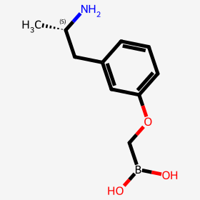 C[C@H](N)Cc1cccc(OCB(O)O)c1